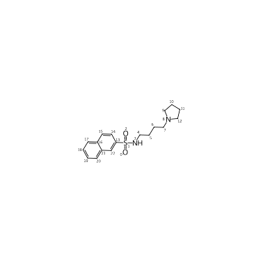 O=S(=O)(NCCCCN1CCCC1)c1ccc2ccccc2c1